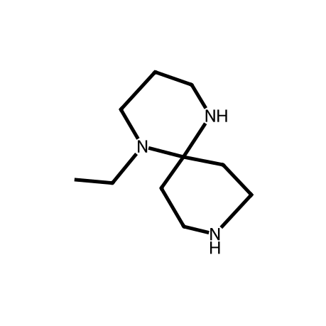 CCN1CCCNC12CCNCC2